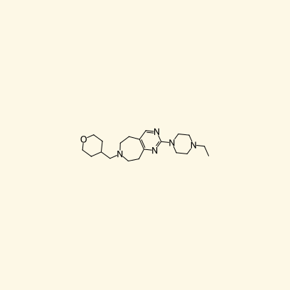 CCN1CCN(c2ncc3c(n2)CCN(CC2CCOCC2)CC3)CC1